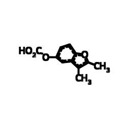 Cc1oc2ccc(OC(=O)O)cc2c1C